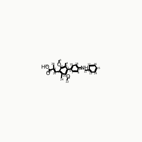 COc1c(C)c(-c2ccc(NCc3ccccc3)cc2)c(OC)c(C)c1/C=C(\C)C(=O)O